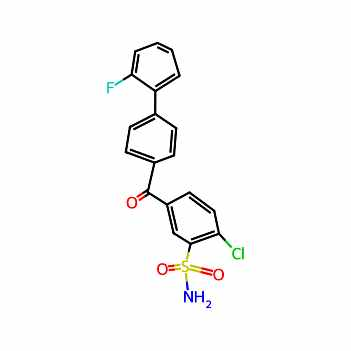 NS(=O)(=O)c1cc(C(=O)c2ccc(-c3ccccc3F)cc2)ccc1Cl